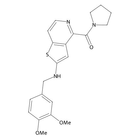 COc1ccc(CNc2cc3c(C(=O)N4CCCC4)nccc3s2)cc1OC